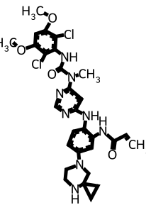 C=CC(=O)Nc1cc(N2CCNC3(CC3)C2)ccc1Nc1cc(N(C)C(=O)Nc2c(Cl)c(OC)cc(OC)c2Cl)ncn1